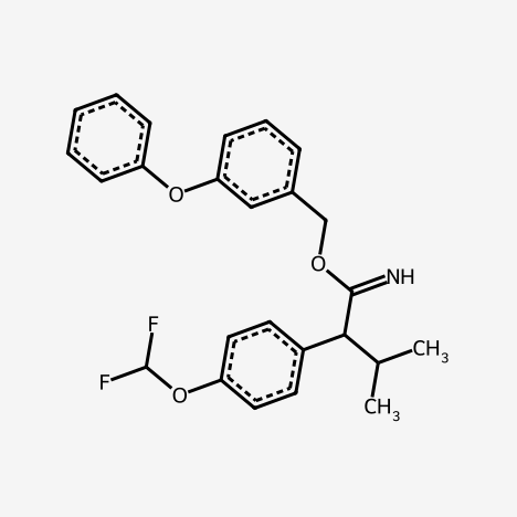 CC(C)C(C(=N)OCc1cccc(Oc2ccccc2)c1)c1ccc(OC(F)F)cc1